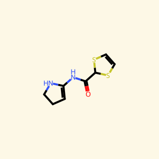 O=C(NC1=CCCN1)C1SC=CS1